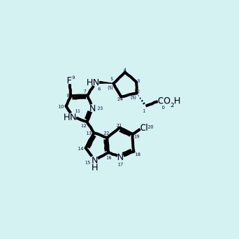 O=C(O)C[C@H]1CC[C@H](NC2=C(F)CNC(c3c[nH]c4ncc(Cl)cc34)=N2)C1